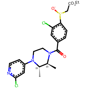 CCOC(=O)C[S+]([O-])c1ccc(C(=O)N2CCN(c3ccnc(Cl)c3)[C@@H](C)[C@@H]2C)cc1Cl